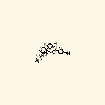 CC(C)(C)OC(=O)NC1=NC(c2cc(NC(=O)c3ccc(C#N)cn3)ccc2F)(C(F)(F)F)CCOC1